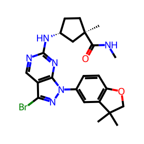 CNC(=O)[C@]1(C)CC[C@@H](Nc2ncc3c(Br)nn(-c4ccc5c(c4)C(C)(C)CO5)c3n2)C1